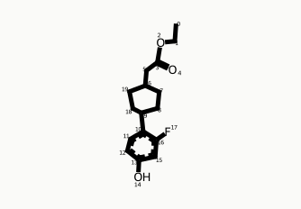 CCOC(=O)CC1CCC(c2ccc(O)cc2F)CC1